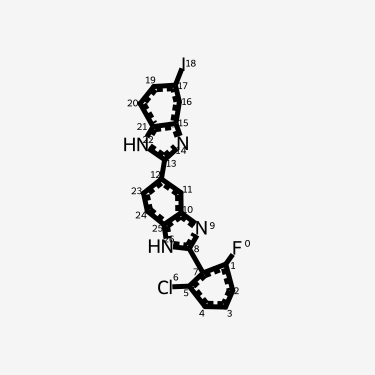 Fc1cccc(Cl)c1-c1nc2cc(-c3nc4cc(I)ccc4[nH]3)ccc2[nH]1